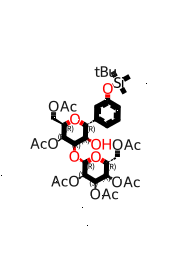 CC(=O)OC[C@H]1O[C@H](O[C@@H]2[C@H](O)[C@@H](c3cccc(O[Si](C)(C)C(C)(C)C)c3)O[C@H](COC(C)=O)[C@H]2OC(C)=O)[C@@H](OC(C)=O)[C@@H](OC(C)=O)[C@@H]1OC(C)=O